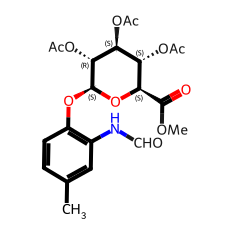 COC(=O)[C@H]1O[C@@H](Oc2ccc(C)cc2NC=O)[C@H](OC(C)=O)[C@@H](OC(C)=O)[C@@H]1OC(C)=O